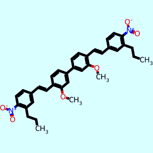 CCCc1cc(C=Cc2ccc(-c3ccc(C=Cc4ccc([N+](=O)[O-])c(CCC)c4)c(OC)c3)cc2OC)ccc1[N+](=O)[O-]